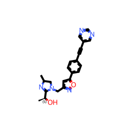 CC1CN(Cc2cc(-c3ccc(C#Cc4cncnc4)cc3)on2)C([C@H](C)O)=N1